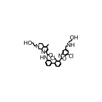 Cc1cc(C(=O)Nc2cccc(-c3cccc(-c4nc5cc(CNCCO)cc(Cl)c5o4)c3C)c2Cl)nc2c1CCN(CCO)C2